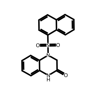 O=C1CN(S(=O)(=O)c2cccc3ccccc23)c2ccccc2N1